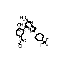 COC(=O)N1CC[C@@H](C)[C@@H](c2cc(C)nc3cc([C@H]4CC[C@H](C(F)(F)F)CC4)nn23)C1